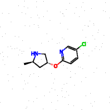 C[C@@H]1C[C@@H](Oc2ccc(Cl)cn2)CN1